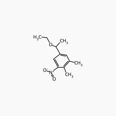 CCOC(C)c1cc(C)c(C)c([N+](=O)[O-])c1